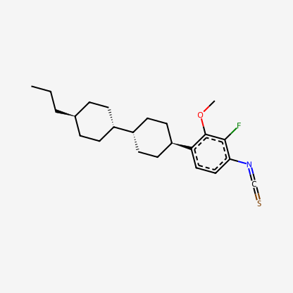 CCC[C@H]1CC[C@H]([C@H]2CC[C@H](c3ccc(N=C=S)c(F)c3OC)CC2)CC1